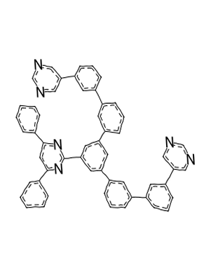 c1ccc(-c2cc(-c3ccccc3)nc(-c3cc(-c4cccc(-c5cccc(-c6cncnc6)c5)c4)cc(-c4cccc(-c5cccc(-c6cncnc6)c5)c4)c3)n2)cc1